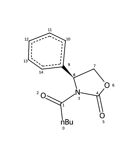 CCCCC(=O)N1C(=O)OC[C@@H]1c1ccccc1